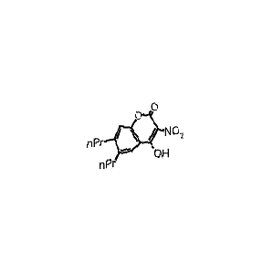 CCCc1cc2oc(=O)c([N+](=O)[O-])c(O)c2cc1CCC